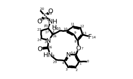 Cc1ccc2nc1Oc1cc(ccc1F)C[C@@H]1[C@H](NS(C)(=O)=O)CCN1C(=O)NC2